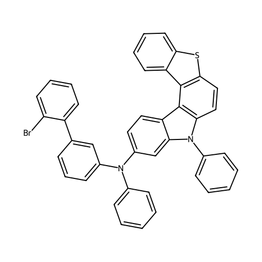 Brc1ccccc1-c1cccc(N(c2ccccc2)c2ccc3c4c5c(ccc4n(-c4ccccc4)c3c2)sc2ccccc25)c1